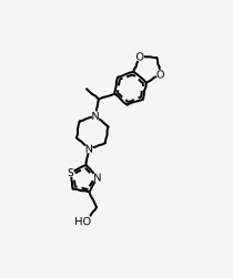 CC(c1ccc2c(c1)OCO2)N1CCN(c2nc(CO)cs2)CC1